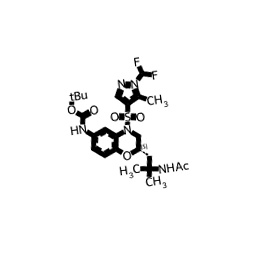 CC(=O)NC(C)(C)C[C@H]1CN(S(=O)(=O)c2cnn(C(F)F)c2C)c2cc(NC(=O)OC(C)(C)C)ccc2O1